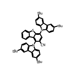 CC(C)(C)c1ccc2c(c1)c1cc(C(C)(C)C)ccc1n2-c1cc(C#N)c(-n2c3ccc(C(C)(C)C)cc3c3cc(C(C)(C)C)ccc32)c2c1sc1ccccc12